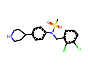 CS(=O)(=O)N(Cc1cccc(Cl)c1Cl)c1ccc(C2CCNCC2)cc1